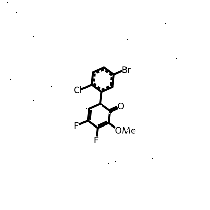 COC1=C(F)C(F)=[C]C(c2cc(Br)ccc2Cl)C1=O